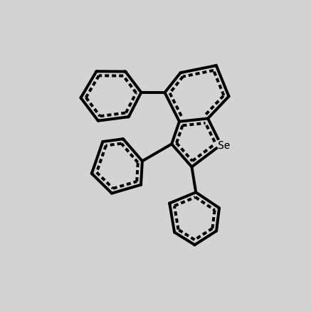 c1ccc(-c2[se]c3cccc(-c4ccccc4)c3c2-c2ccccc2)cc1